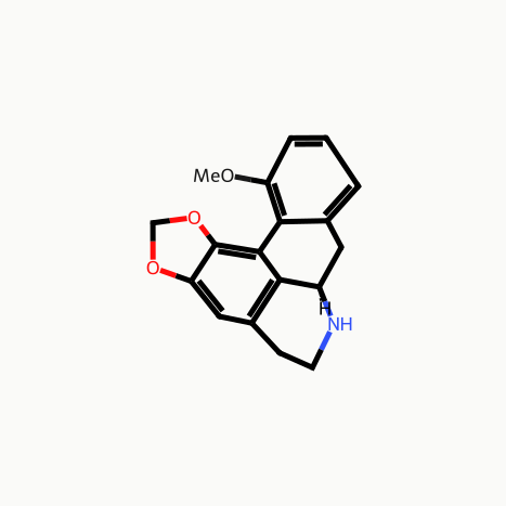 COc1cccc2c1-c1c3c(cc4c1[C@@H](C2)NCC4)OCO3